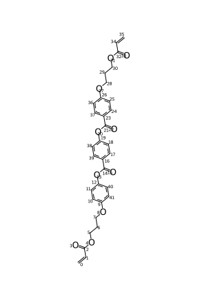 C=CC(=O)OCCCOc1ccc(OC(=O)c2ccc(OC(=O)c3ccc(OCCCOC(=O)C=C)cc3)cc2)cc1